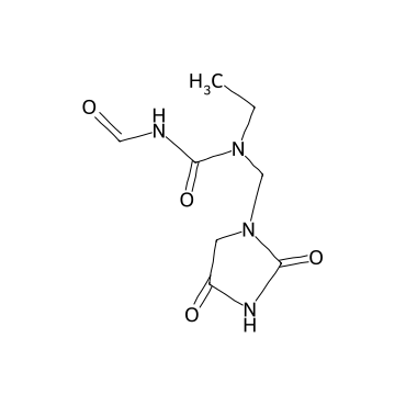 CCN(CN1CC(=O)NC1=O)C(=O)NC=O